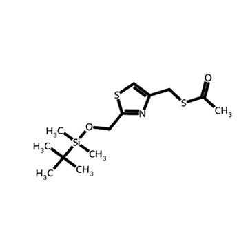 CC(=O)SCc1csc(CO[Si](C)(C)C(C)(C)C)n1